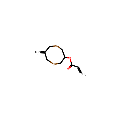 C=CC(=O)OC1CSCC(=C)CSC1